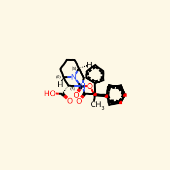 CC(C(=O)N1C[C@@H]2CCC[C@H]([C@H]1C(=O)O)N2C(=O)OCc1ccccc1)(c1ccccc1)c1ccccc1